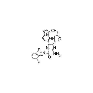 Cc1cnc2ccc(-c3nc(C(=O)NCc4c(F)cccc4F)c(N)nc3C3COCCN3)cn12